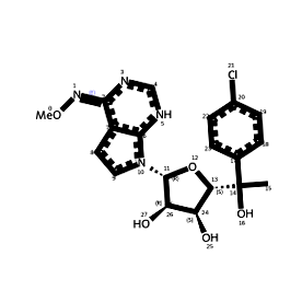 CO/N=c1/nc[nH]c2c1ccn2[C@@H]1O[C@H](C(C)(O)c2ccc(Cl)cc2)[C@@H](O)[C@H]1O